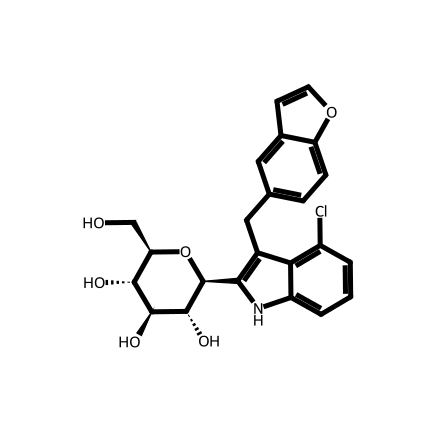 OC[C@H]1O[C@@H](c2[nH]c3cccc(Cl)c3c2Cc2ccc3occc3c2)[C@H](O)[C@@H](O)[C@@H]1O